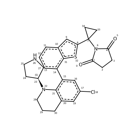 O=C1CCC(=O)N1C1(c2cc3cccc(-c4cc(Cl)cc5c4N([C@H]4CCNC4)CCC5)c3s2)CC1